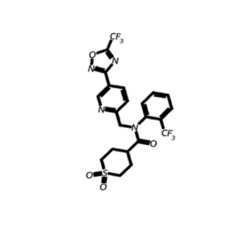 O=C(C1CCS(=O)(=O)CC1)N(Cc1ccc(-c2noc(C(F)(F)F)n2)cn1)c1ccccc1C(F)(F)F